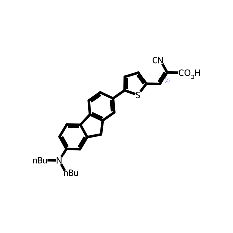 [C-]#[N+]/C(=C\c1ccc(-c2ccc3c(c2)Cc2cc(N(CCCC)CCCC)ccc2-3)s1)C(=O)O